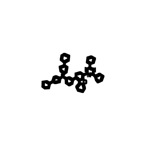 c1ccc(-c2ccc(N(c3ccc(-c4ccccc4)cc3)c3cccc(-c4ccc(-c5nc(-c6ccccc6)nc(-c6ccccc6)n5)c5oc6ccccc6c45)c3)cc2)cc1